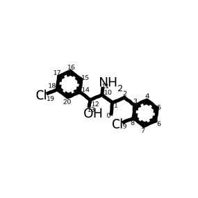 CC(Cc1ccccc1Cl)C(N)C(O)c1cccc(Cl)c1